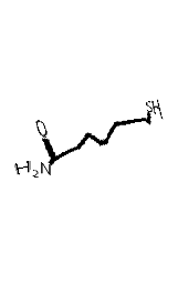 NC(=O)CCCCCS